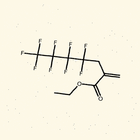 C=C(CC(F)(F)C(F)(F)C(F)(F)C(F)(F)F)C(=O)OCC